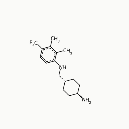 Cc1c(NC[C@H]2CC[C@H](N)CC2)ccc(C(F)(F)F)c1C